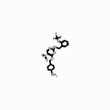 NC1CCC(COc2nc(NCc3ccccc3OC(F)(F)F)ncc2[N+](=O)[O-])CC1